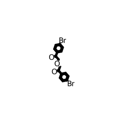 O=C(COCC(=O)c1ccc(Br)cc1)c1ccc(Br)cc1